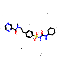 CN(CCc1ccc(S(=O)(=O)NC(=O)NC2CCCCC2)cc1)C(=O)c1cnccn1